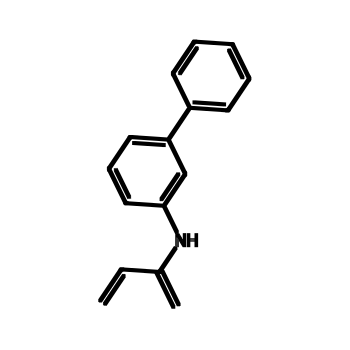 C=CC(=C)Nc1cccc(-c2ccccc2)c1